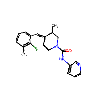 CC1CN(C(=O)Nc2cccnc2)CCC1=Cc1cccc(C(F)(F)F)c1F